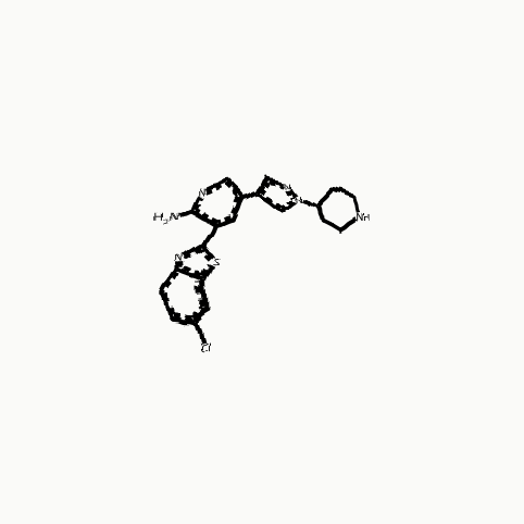 Nc1ncc(-c2cnn(C3CCNCC3)c2)cc1-c1nc2ccc(Cl)cc2s1